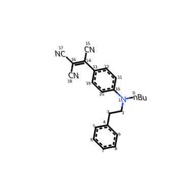 CCCCN(CCc1ccccc1)c1ccc(C(C#N)=C(C#N)C#N)cc1